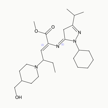 CCC(/C=C(\N=C1/CC(C(C)C)=NN1C1CCCCC1)C(=O)OC)N1CCC(CO)CC1